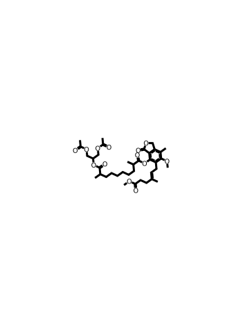 COC(=O)CC/C(C)=C/Cc1c(OC)c(C)c2c(c1OC(=O)C(C)CCCCCCC(C)C(=O)OC(COC(C)=O)COC(C)=O)C(=O)OC2